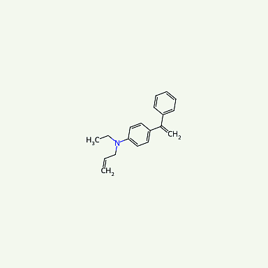 C=CCN(CC)c1ccc(C(=C)c2ccccc2)cc1